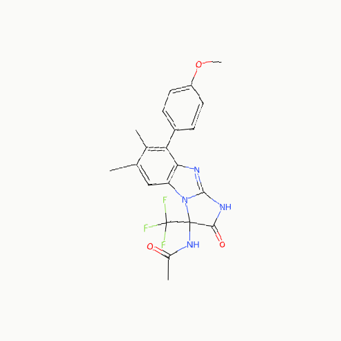 COc1ccc(-c2c(C)c(C)cc3c2nc2n3C(NC(C)=O)(C(F)(F)F)C(=O)N2)cc1